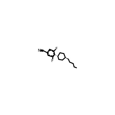 CCCCC[C@H]1CC[C@H](c2c(F)cc(C#N)cc2F)CC1